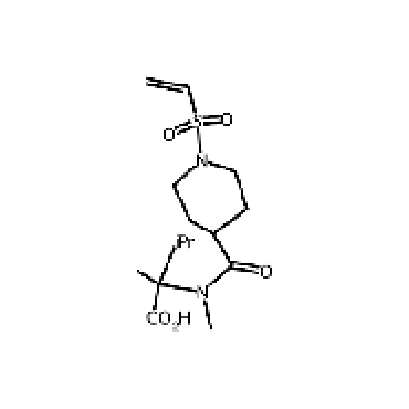 C=CS(=O)(=O)N1CCC(C(=O)N(C)C(C)(C(=O)O)C(C)C)CC1